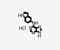 Cl.c1nc(Nc2ccc3[nH]ccc3c2)c2nc[nH]c2n1